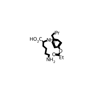 CCC(=O)Oc1ccc(CC(C)C)cc1.NCCCC[C@H](N)C(=O)O